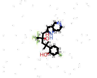 CC(C)(CC(O)(Cc1cc2cnccc2[nH]1)C(F)(F)F)c1ccc(F)cc1O